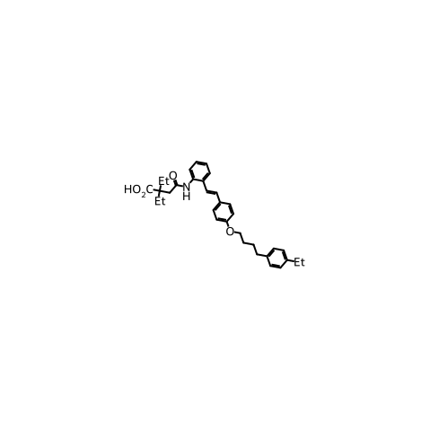 CCc1ccc(CCCCOc2ccc(/C=C/c3ccccc3NC(=O)CC(CC)(CC)C(=O)O)cc2)cc1